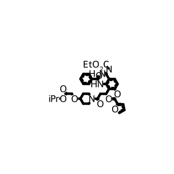 CCOC(=O)N=C(N)c1ccc(OC(=O)c2ccco2)c(CCC(=O)N2CCC(OCC(=O)OC(C)C)CC2)c1NC(=O)c1ccccc1